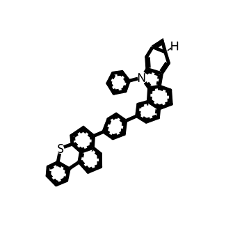 C1=C2C=c3c(c4ccc5ccc(-c6ccc(-c7ccc8c9c(cccc79)-c7ccccc7S8)cc6)cc5c4n3-c3ccccc3)=C[C@H]12